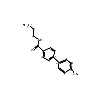 CCOC(=O)CCNC(=O)c1ccc(-c2ccc(C#N)cc2)cc1